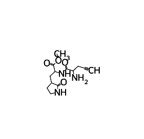 C#CCC(N)C(=O)NC(CC1CCNC1=O)C(=O)OC